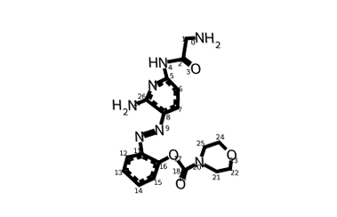 NCC(=O)Nc1ccc(N=Nc2ccccc2OC(=O)N2CCOCC2)c(N)n1